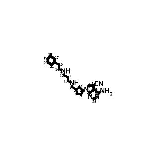 N#Cc1cn(C2CCC(CNCCCNCCc3ccccc3)C2)c2ncnc(N)c12